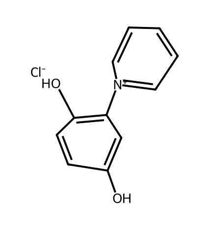 Oc1ccc(O)c(-[n+]2ccccc2)c1.[Cl-]